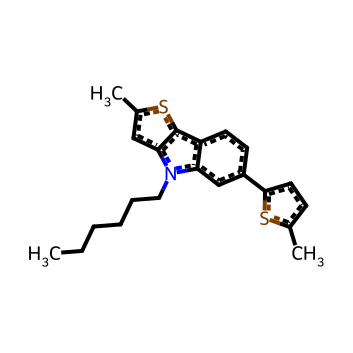 CCCCCCn1c2cc(-c3ccc(C)s3)ccc2c2sc(C)cc21